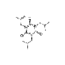 C=C(C)Cn1c(=O)n(CC(C)C)c(=O)n(CC(C)C)c1=O